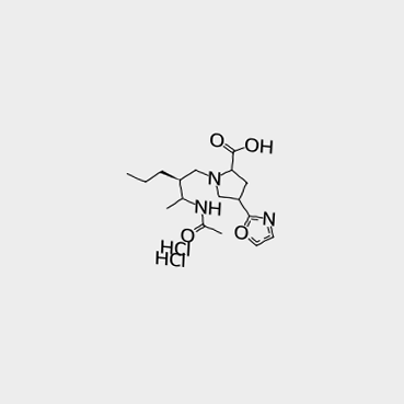 CCC[C@@H](CN1CC(c2ncco2)CC1C(=O)O)C(C)NC(C)=O.Cl.Cl